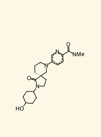 CNC(=O)c1ccc(N2CCC[C@@]3(CCN(C4CCC(O)CC4)C3=O)C2)cn1